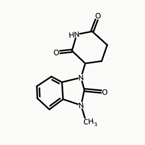 Cn1c(=O)n(C2CCC(=O)NC2=O)c2ccccc21